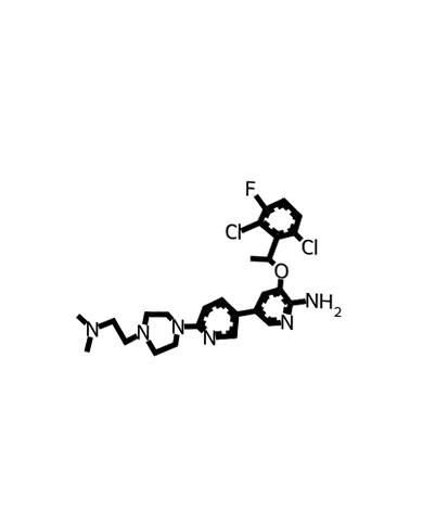 CC(Oc1cc(-c2ccc(N3CCN(CCN(C)C)CC3)nc2)cnc1N)c1c(Cl)ccc(F)c1Cl